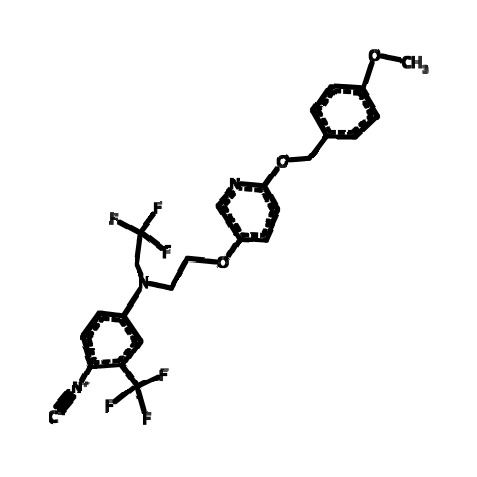 [C-]#[N+]c1ccc(N(CCOc2ccc(OCc3ccc(OC)cc3)nc2)CC(F)(F)F)cc1C(F)(F)F